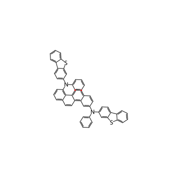 c1ccc(N(c2ccc3c(c2)sc2ccccc23)c2ccc3ccc4c(ccc5cccc(N(c6ccccc6)c6ccc7c(c6)sc6ccccc67)c54)c3c2)cc1